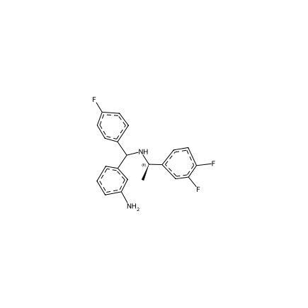 C[C@@H](NC(c1ccc(F)cc1)c1cccc(N)c1)c1ccc(F)c(F)c1